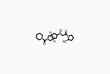 N#CC1CCCN1C(=O)CN(Cl)C1C[C@@H]2CN(C(=O)N3CCCCC3)C[C@@H]2C1